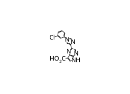 O=C(O)c1c[nH]c2ncc(-c3cn(-c4cccc(Cl)c4)cn3)nc12